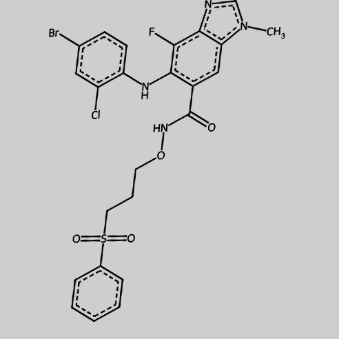 Cn1cnc2c(F)c(Nc3ccc(Br)cc3Cl)c(C(=O)NOCCCS(=O)(=O)c3ccccc3)cc21